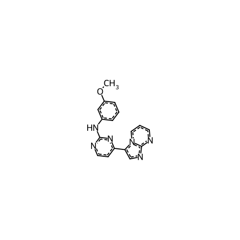 COc1cccc(Nc2nccc(-c3cnc4ncccn34)n2)c1